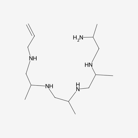 C=CCNCC(C)NCC(C)NCC(C)NCC(C)N